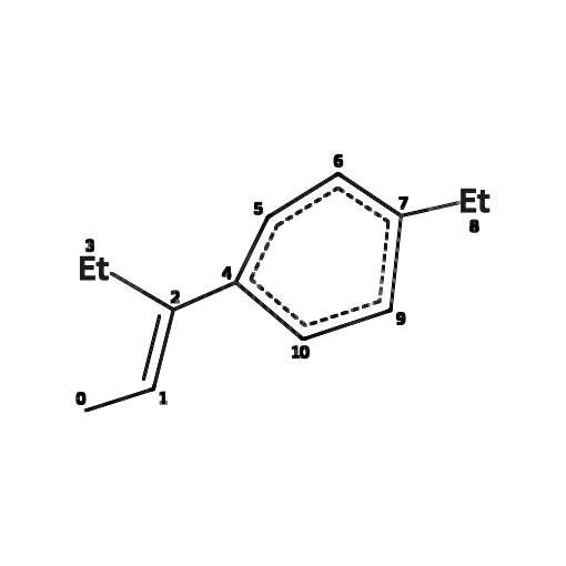 CC=C(CC)c1ccc(CC)cc1